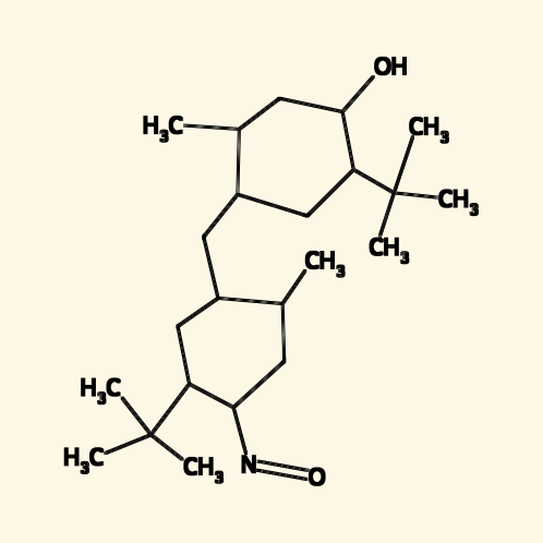 CC1CC(O)C(C(C)(C)C)CC1CC1CC(C(C)(C)C)C(N=O)CC1C